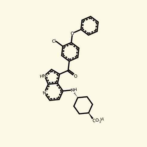 O=C(c1ccc(Oc2ccccc2)c(Cl)c1)c1c[nH]c2nccc(N[C@H]3CC[C@H](C(=O)O)CC3)c12